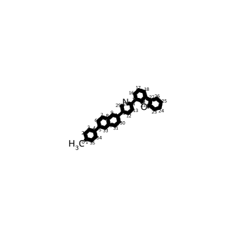 Cc1ccc(-c2ccc3cc(-c4ccc(-c5cccc6c5oc5ccccc56)nc4)ccc3c2)cc1